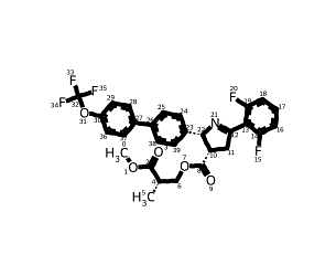 COC(=O)[C@@H](C)COC(=O)[C@H]1CC(c2c(F)cccc2F)=N[C@H]1c1ccc(-c2ccc(OC(F)(F)F)cc2)cc1